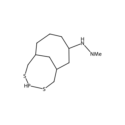 CNNC1CCCC2CSPSCC(C2)C1